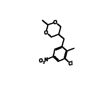 Cc1c(Cl)cc([N+](=O)[O-])cc1CC1COC(C)OC1